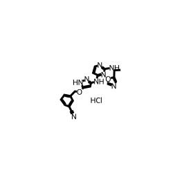 CC(Nc1nccc(Nc2cc(OCc3cccc(C#N)c3)[nH]n2)n1)c1cnco1.Cl